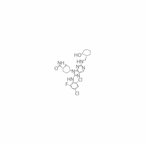 NC(=O)[C@H]1CC[C@@H](n2c(Nc3c(F)cc(Cl)cc3Cl)nc3cnc(NC[C@@H]4CCCC[C@H]4O)nc32)CC1